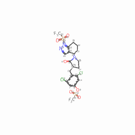 O=C1[C@H](Cc2c(Cl)cc(OS(=O)(=O)C(F)(F)F)cc2Cl)CCN1C1CCCc2c1cnn2S(=O)(=O)C(F)(F)F